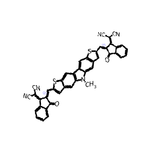 Cn1c2cc3cc(/C=C4\C(=O)c5ccccc5C4=C(C#N)C#N)sc3cc2c2cc3sc(/C=C4\C(=O)c5ccccc5C4=C(C#N)C#N)cc3cc21